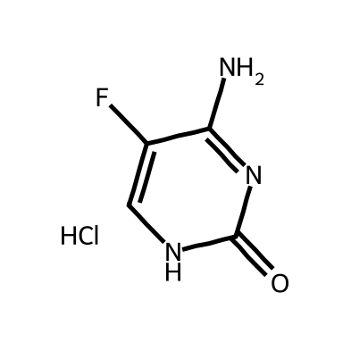 Cl.Nc1nc(=O)[nH]cc1F